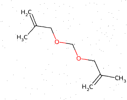 C=C(C)CO[CH]OCC(=C)C